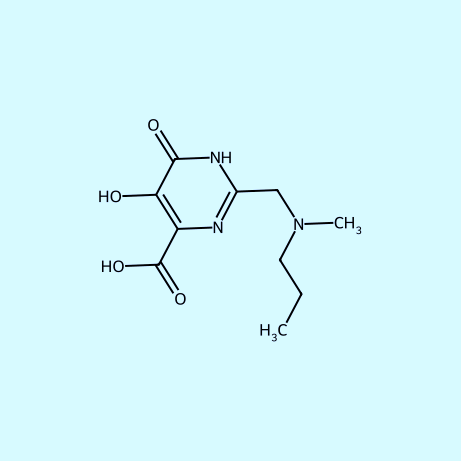 CCCN(C)Cc1nc(C(=O)O)c(O)c(=O)[nH]1